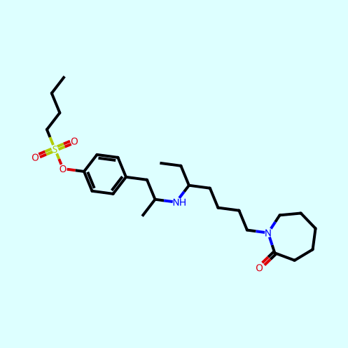 CCCCS(=O)(=O)Oc1ccc(CC(C)NC(CC)CCCCN2CCCCCC2=O)cc1